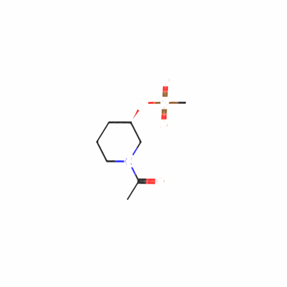 CC(=O)N1CCC[C@@H](OS(C)(=O)=O)C1